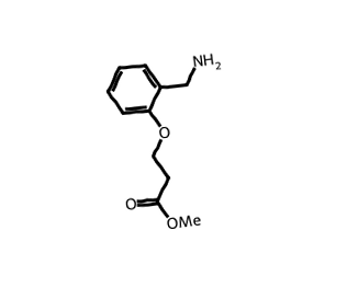 COC(=O)CCOc1ccccc1CN